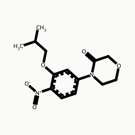 CC(C)COc1cc(N2CCOCC2=O)ccc1[N+](=O)[O-]